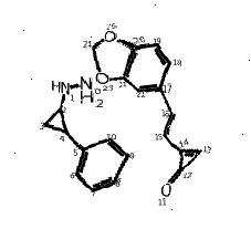 NNC1CC1c1ccccc1.O=c1cc1C=Cc1ccc2c(c1)OCO2